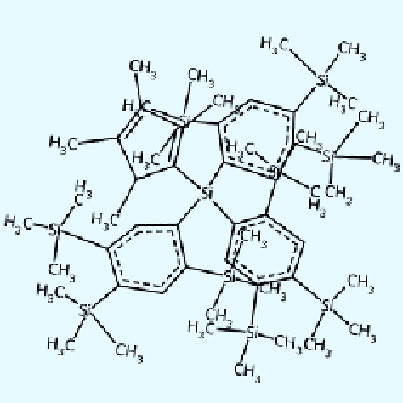 CC1=C(C)C(C)C([Si](c2cc([Si](C)(C)C)c([Si](C)(C)C)cc2[Si](C)(C)C)(c2cc([Si](C)(C)C)c([Si](C)(C)C)cc2[Si](C)(C)C)c2cc([Si](C)(C)C)c([Si](C)(C)C)cc2[Si](C)(C)C)=C1C